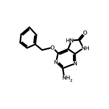 Nc1nc(OCc2ccccc2)c2[nH]c(=O)[nH]c2n1